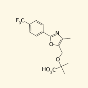 Cc1nc(-c2ccc(C(F)(F)F)cc2)oc1COC(C)(C)C(=O)O